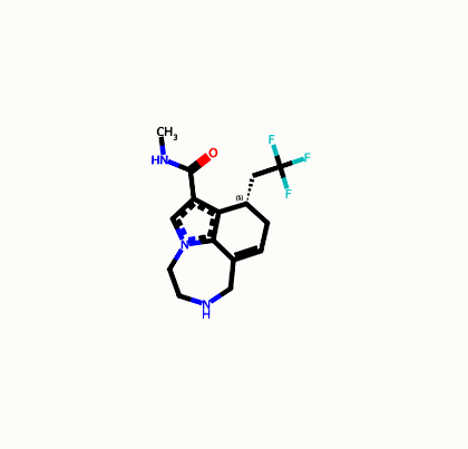 CNC(=O)c1cn2c3c1[C@H](CC(F)(F)F)CC=C3CNCC2